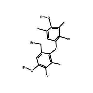 Cc1cc(Oc2c(CBr)cc(OC(C)C)c(Br)c2C)c(Br)c(C)c1OC(C)C